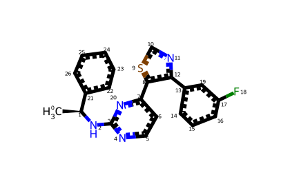 C[C@H](Nc1nccc(-c2scnc2-c2cccc(F)c2)n1)c1ccccc1